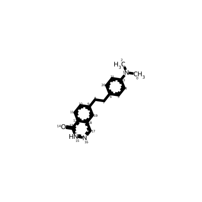 CN(C)c1ccc(CCc2ccc3c(=O)[nH]ncc3c2)cc1